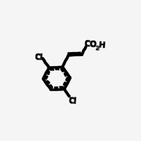 O=C(O)C=Cc1cc(Cl)ccc1Cl